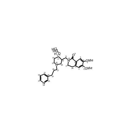 COc1cc2c(cc1OC)C(=O)N(CC1CCCN(CCCc3cccnc3)C1)CC2.Cl.Cl.O